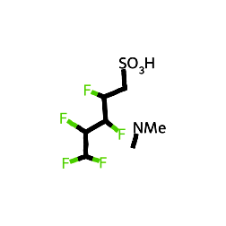 CNC.O=S(=O)(O)CC(F)C(F)C(F)C(F)F